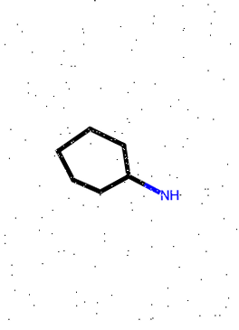 [NH]C1[CH]CCCC1